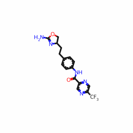 NC1=NC(CCc2ccc(NC(=O)c3cnc(C(F)(F)F)cn3)cc2)CO1